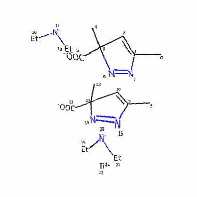 CC1=CC(C)(C(=O)[O-])N=N1.CC1=CC(C)(C(=O)[O-])N=N1.CC[N-]CC.CC[N-]CC.[Ti+4]